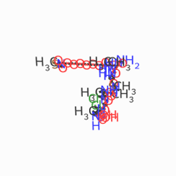 CSC1CC(=O)N(CCOCCOCCOCCOCCOCCOCCC(=O)NC(C(=O)NC(CCCNC(N)=O)C(=O)Nc2ccc(COC(=S)N(C)CCN(C)C(=O)Oc3cc4c(c5c(C)c[nH]c35)C(CCl)CN4C(=O)C34CC(C(=O)N5CC(CCl)c6c5cc(OP(=O)(O)O)c5[nH]cc(C)c65)(C3)C4)cc2)C(C)C)C1=O